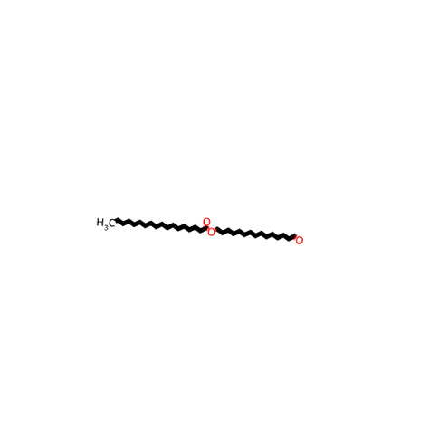 CCCCCCCCCCCCCCCCCC(=O)OCCCCCCCCCCCCCC[C]=O